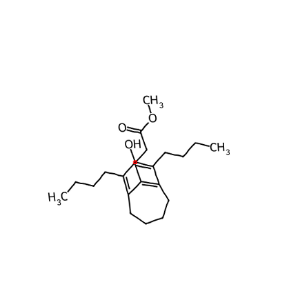 CCCCc1c(O)c(CCCC)c2c(CCC(=O)OC)c1CCCC2